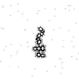 C1=Cc2sc3ccc4c(ccc5sc6cc(-c7c8ccccc8c(-c8cccc9ccccc89)c8ccccc78)ccc6c54)c3c2CC1